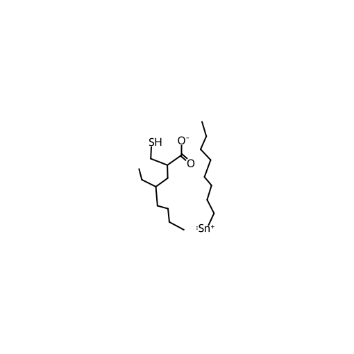 CCCCC(CC)CC(CS)C(=O)[O-].CCCCCCC[CH2][Sn+]